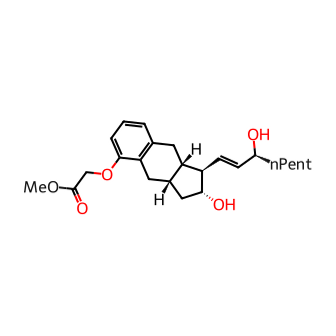 CCCCC[C@H](O)C=C[C@@H]1[C@H]2Cc3cccc(OCC(=O)OC)c3C[C@H]2C[C@H]1O